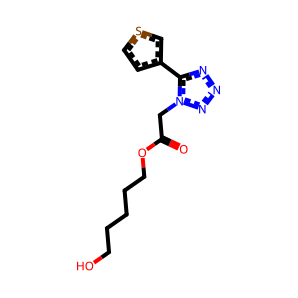 O=C(Cn1nnnc1-c1ccsc1)OCCCCCO